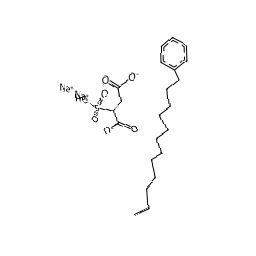 CCCCCCCCCCCCc1ccccc1.O=C([O-])CC(C(=O)[O-])S(=O)(=O)O.[Na+].[Na+]